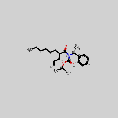 C=CCC(CCCCCC)C(=O)N(C(=O)OC(C)C)[C@H](C)c1ccccc1